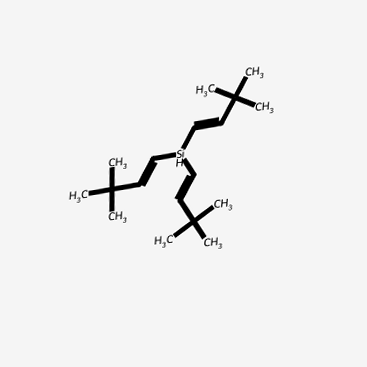 CC(C)(C)C=C[SiH](C=CC(C)(C)C)C=CC(C)(C)C